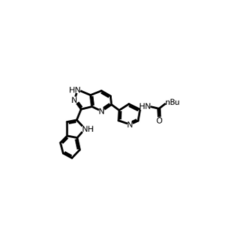 CCCCC(=O)Nc1cncc(-c2ccc3[nH]nc(-c4cc5ccccc5[nH]4)c3n2)c1